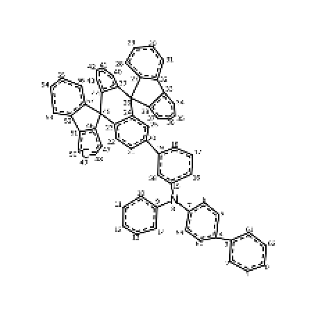 c1ccc(-c2ccc(N(c3ccccc3)c3cccc(-c4ccc5c(c4)C4(c6ccccc6-c6ccccc64)c4ccccc4C54c5ccccc5-c5ccccc54)c3)cc2)cc1